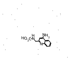 Nc1cc(CNC(=O)O)nc2ccccc12